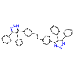 C(=Cc1ccc(-c2nnnc(-c3ccccc3)c2-c2ccccc2)cc1)c1ccc(-c2nnnc(-c3ccccc3)c2-c2ccccc2)cc1